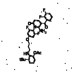 CC(=O)Oc1cccc(C(C)(C)C)c1NCCCOc1cc(F)c(-n2c(N)c(C(=O)c3cccc(F)c3F)ccc2=O)c(F)c1